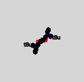 CC(C)(C)c1ccc(N(c2ccc3ccccc3c2)c2ccc3c(c2)oc2cc4cc5c(cc4cc23)oc2cc(N(c3ccc(C(C)(C)C)cc3)c3ccc4ccccc4c3)ccc25)cc1